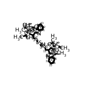 CC(C)O[Si](CC(CSSSSSCC(C[Si](OC(C)C)(OC(C)C)OC(C)C)c1nc2ccccc2s1)c1nc2ccccc2s1)(OC(C)C)OC(C)C